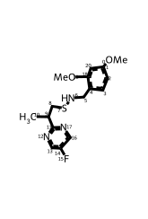 COc1ccc(CNSCC(C)c2ncc(F)cn2)c(OC)c1